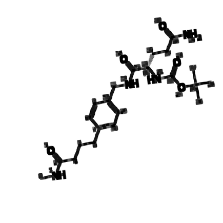 CNC(=O)CCCc1ccc(CNC(=O)[C@H](CCC(N)=O)NC(=O)OC(C)(C)C)cc1